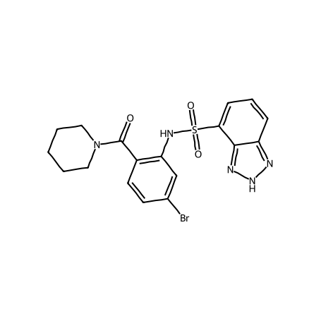 O=C(c1ccc(Br)cc1NS(=O)(=O)c1cccc2n[nH]nc12)N1CCCCC1